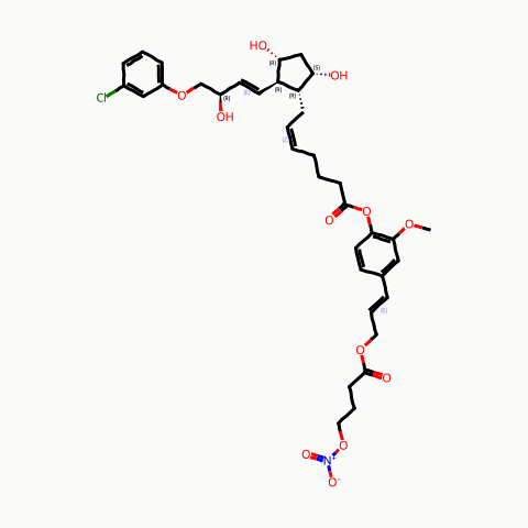 COc1cc(/C=C/COC(=O)CCCO[N+](=O)[O-])ccc1OC(=O)CCC/C=C\C[C@@H]1[C@@H](/C=C/[C@@H](O)COc2cccc(Cl)c2)[C@H](O)C[C@@H]1O